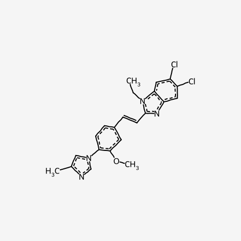 CCn1c(C=Cc2ccc(-n3cnc(C)c3)c(OC)c2)nc2cc(Cl)c(Cl)cc21